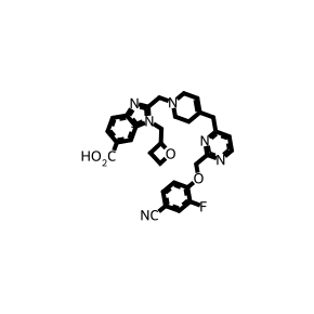 N#Cc1ccc(OCc2nccc(CC3=CCN(Cc4nc5ccc(C(=O)O)cc5n4CC4CCO4)CC3)n2)c(F)c1